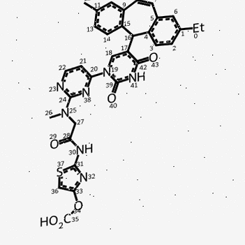 CCc1ccc2c(c1)C=Cc1cc(C)ccc1C2c1cn(-c2ccnc(N(C)CC(=O)Nc3nc(OC(=O)O)cs3)n2)c(=O)[nH]c1=O